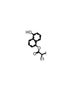 CCC(I)C(=O)Oc1cccc2c(O)cccc12